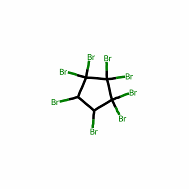 BrC1C(Br)C(Br)(Br)C(Br)(Br)C1(Br)Br